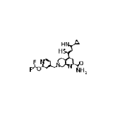 N=C(/C=C(\S)c1cc(C(N)=O)nc2c1CCN(Cc1ccnc(OC(F)F)c1)C2)C1CC1